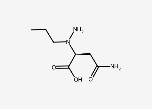 CCCN(N)[C@@H](CC(N)=O)C(=O)O